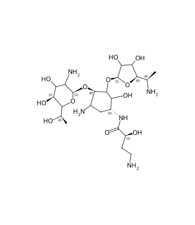 C[C@@H](O)C1O[C@H](O[C@@H]2C(N)C[C@@H](NC(=O)[C@@H](O)CCN)C(O)C2O[C@@H]2O[C@H]([C@@H](C)N)C(O)C2O)C(N)C(O)[C@@H]1O